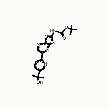 CC(C)(C)OC(=O)Nc1nc2ncc(-c3ccc(C(C)(C)O)cn3)nc2s1